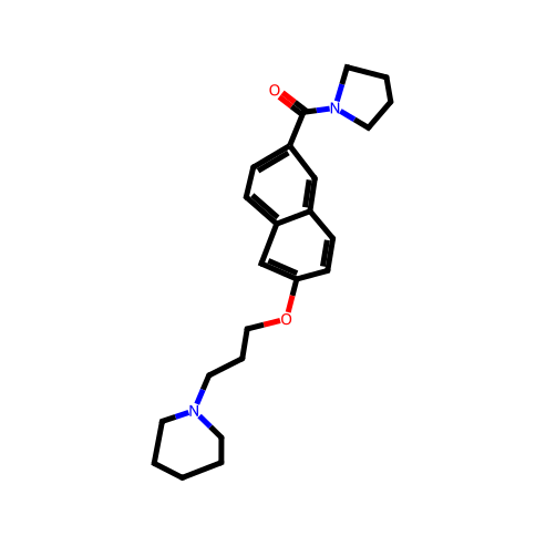 O=C(c1ccc2cc(OCCCN3CCCCC3)ccc2c1)N1CCCC1